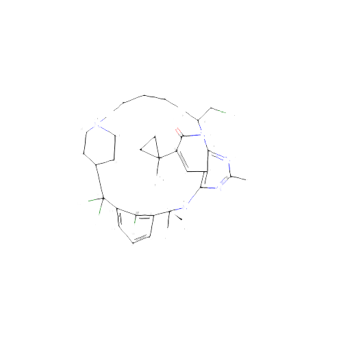 Cc1nc2c3cc(C4(C#N)CC4)c(=O)n(c3n1)C(CF)CCCCCN1CCC(CC1)C(F)(F)c1cccc(c1F)[C@@H](C)N2